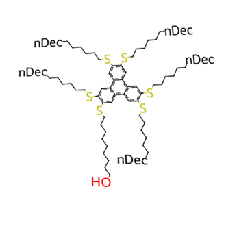 CCCCCCCCCCCCCCCCSc1cc2c(cc1SCCCCCCCCCO)c1cc(SCCCCCCCCCCCCCCCC)c(SCCCCCCCCCCCCCCCC)cc1c1cc(SCCCCCCCCCCCCCCCC)c(SCCCCCCCCCCCCCCCC)cc21